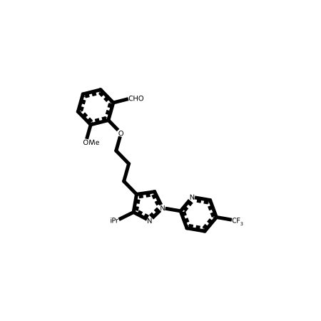 COc1cccc(C=O)c1OCCCc1cn(-c2ccc(C(F)(F)F)cn2)nc1C(C)C